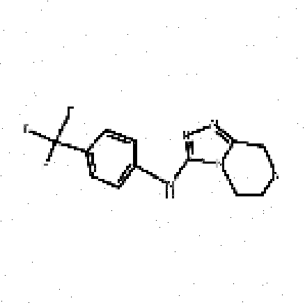 FC(F)(F)c1ccc(Nc2nnc3n2CC[N]C3)cc1